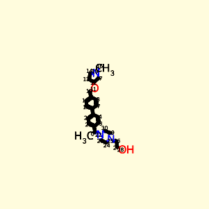 CC(c1ccc(-c2ccc(COC3CCN(C)C3)cc2)cc1)N1CCN(CCO)CC1